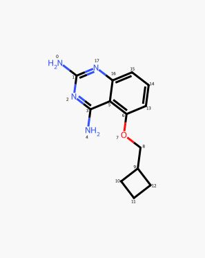 Nc1nc(N)c2c(OCC3CCC3)cccc2n1